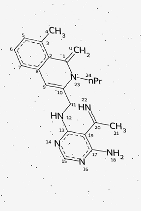 C=C1c2c(C)cccc2C=C(CNc2ncnc(N)c2C(C)=N)N1CCC